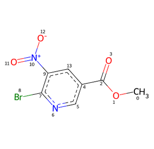 COC(=O)c1cnc(Br)c([N+](=O)[O-])c1